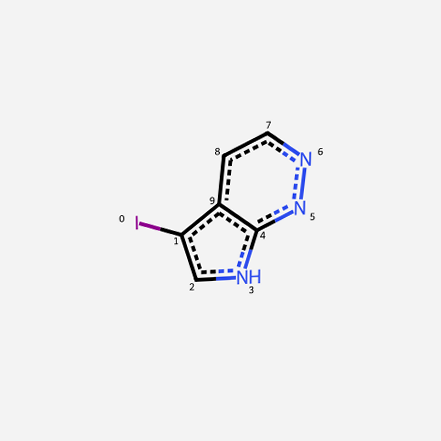 Ic1c[nH]c2nnccc12